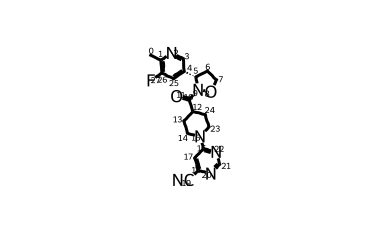 Cc1ncc([C@@H]2CCON2C(=O)C2CCN(c3cc(C#N)ncn3)CC2)cc1F